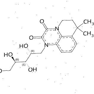 CC1(C)CCn2c(=O)c(=O)n(C[C@@H](O)[C@H](O)[C@H](O)CO)c3cccc1c32